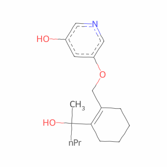 CCCC(C)(O)C1=C(COc2cncc(O)c2)CCCC1